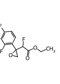 CCOC(=O)C(F)C1(c2ccc(F)cc2F)CO1